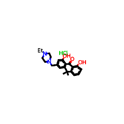 CCN1CCN(Cc2cc(O)c3c(c2)C(C)(C)c2cccc(O)c2C3=O)CC1.Cl